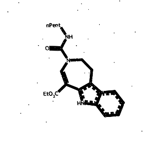 CCCCCNC(=O)N1C=C(C(=O)OCC)c2[nH]c3ccccc3c2CC1